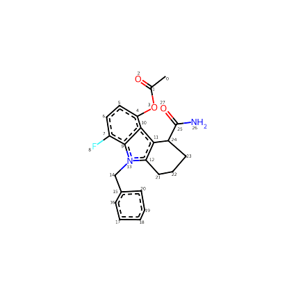 CC(=O)Oc1ccc(F)c2c1c1c(n2Cc2ccccc2)CCCC1C(N)=O